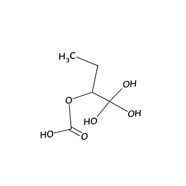 CCC(OC(=O)O)C(O)(O)O